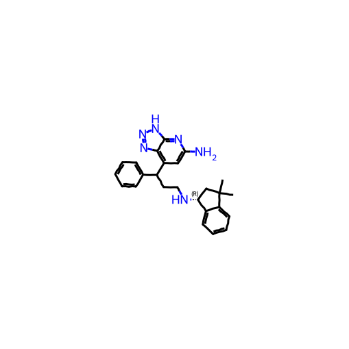 CC1(C)C[C@@H](NCCC(c2ccccc2)c2cc(N)nc3[nH]nnc23)c2ccccc21